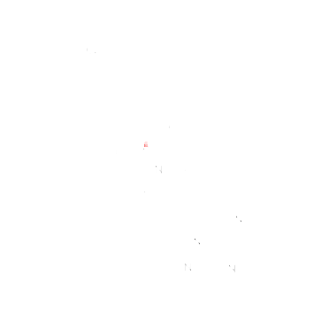 O=S(=O)(c1ccc(Cl)cc1)N1C2CCCC1c1cnc3ncnn3c1C2